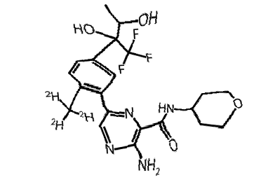 [2H]C([2H])([2H])c1ccc(C(O)(C(C)O)C(F)(F)F)cc1-c1cnc(N)c(C(=O)NC2CCOCC2)n1